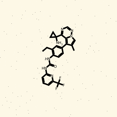 CCc1cc(-c2c(C)cn3ncnc(C4(N)CC4)c23)ccc1NC(=O)Nc1cccc(C(F)(F)F)n1